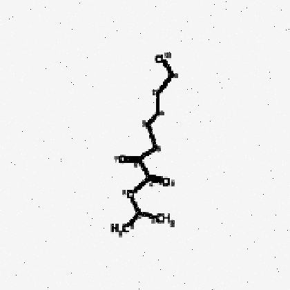 CC(C)OC(=O)C(=O)CCCCCCl